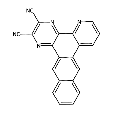 N#Cc1nc2c3cc4ccccc4cc3c3cccnc3c2nc1C#N